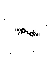 Oc1ccc(CCc2ccc(O)c(Cl)c2)cc1Cl